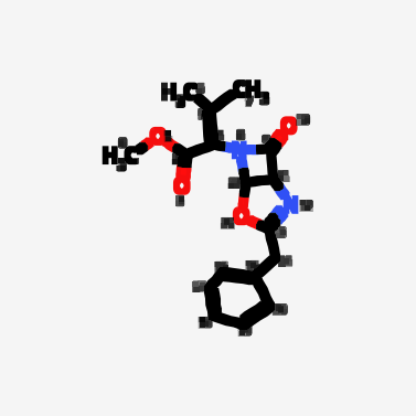 COC(=O)C(=C(C)C)N1C(=O)C2N=C(Cc3ccccc3)OC21